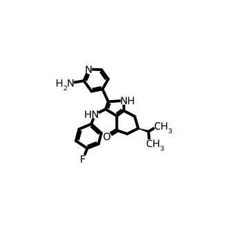 CC(C)[C@H]1CC(=O)c2c([nH]c(-c3ccnc(N)c3)c2Nc2ccc(F)cc2)C1